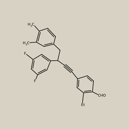 CCc1cc(C#CC(Cc2ccc(C)c(C)c2)c2cc(F)cc(F)c2)ccc1C=O